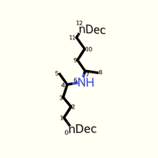 CCCCCCCCCCCCCC(C)NC(C)CCCCCCCCCCCCC